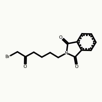 O=C(CBr)CCCCN1C(=O)c2ccccc2C1=O